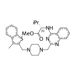 COC(=O)[C@@H](Nc1nc(CN2CCN(Cc3sc4ccccc4c3C)CC2)nc2ccccc12)C(C)C